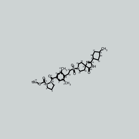 Cc1cc(C(=O)N2CCCN2C(=O)OC(C)(C)C)cc(C)c1CCS(=O)(=O)N1CCC2(CC1)N=C(C1CCC(C)CC1)NC2=O